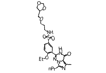 CCCc1nc(C)c2c(=O)[nH]c(-c3cc(S(=O)(=O)NCCCOCC4COCO4)ccc3OCC)nn12